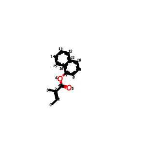 C/C=C(\C)C(=O)Oc1cccc2ccccc12